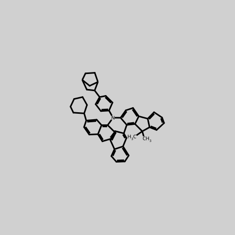 CC1(C)c2ccccc2-c2ccc(N(c3ccc(C4CC5CCC4C5)cc3)c3cccc4ccc(C5CCCCC5)cc34)c(-c3ccc4ccccc4c3)c21